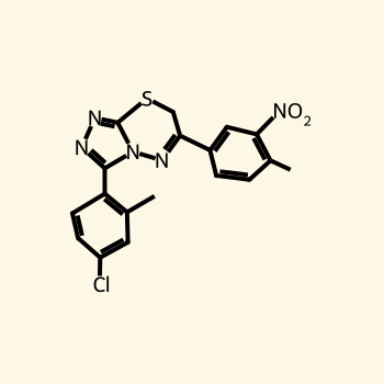 Cc1cc(Cl)ccc1-c1nnc2n1N=C(c1ccc(C)c([N+](=O)[O-])c1)CS2